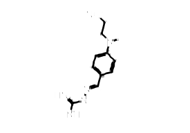 CN(CCC#N)c1ccc(/C=N/NC(=N)N)cc1